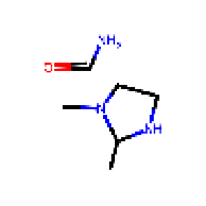 CC1NCCN1C.NC=O